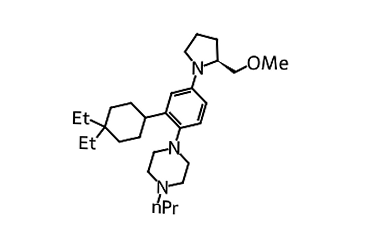 CCCN1CCN(c2ccc(N3CCC[C@H]3COC)cc2C2CCC(CC)(CC)CC2)CC1